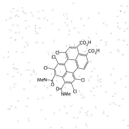 CNC(=O)c1c(Cl)c(Cl)c2c3ccc(C(=O)O)c4c(C(=O)O)cc(Cl)c(c5c(Cl)c(Cl)c(C(=O)NC)c1c25)c43